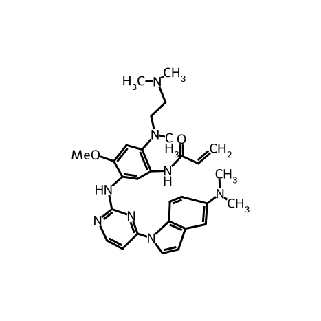 C=CC(=O)Nc1cc(Nc2nccc(-n3ccc4cc(N(C)C)ccc43)n2)c(OC)cc1N(C)CCN(C)C